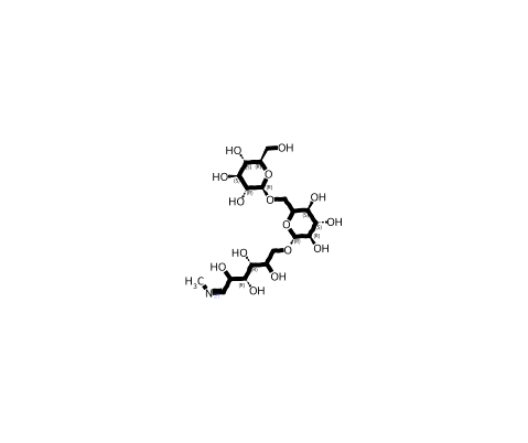 C/N=C\C(O)[C@@H](O)[C@H](O)C(O)CO[C@@H]1OC(CO[C@@H]2O[C@H](CO)[C@@H](O)[C@H](O)[C@H]2O)[C@@H](O)[C@H](O)[C@H]1O